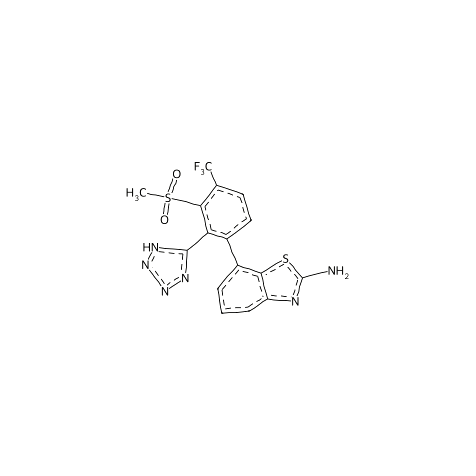 CS(=O)(=O)c1c(C(F)(F)F)ccc(-c2cccc3nc(N)sc23)c1-c1nnn[nH]1